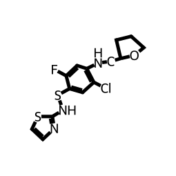 Fc1cc(NCC2CCCO2)c(Cl)cc1SNc1nccs1